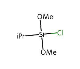 CO[Si](Cl)(OC)C(C)C